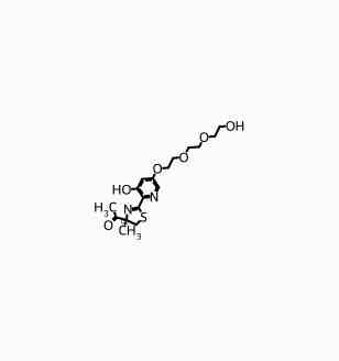 CC(=O)[C@@]1(C)CSC(c2ncc(OCCOCCOCCO)cc2O)=N1